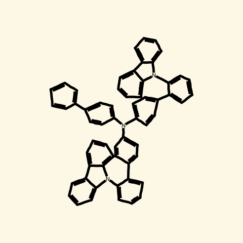 c1ccc(-c2ccc(N(c3ccc(-c4ccccc4-n4c5ccccc5c5ccccc54)cc3)c3ccc(-c4ccccc4-n4c5ccccc5c5ccccc54)cc3)cc2)cc1